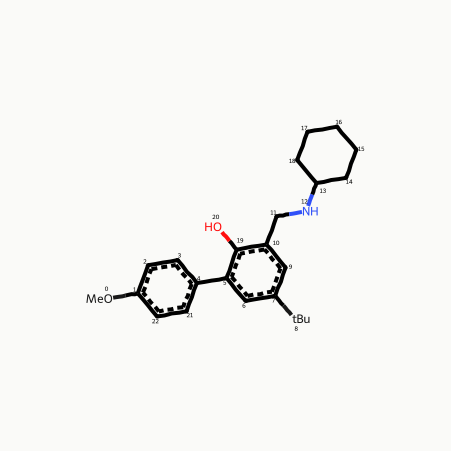 COc1ccc(-c2cc(C(C)(C)C)cc(CNC3CCCCC3)c2O)cc1